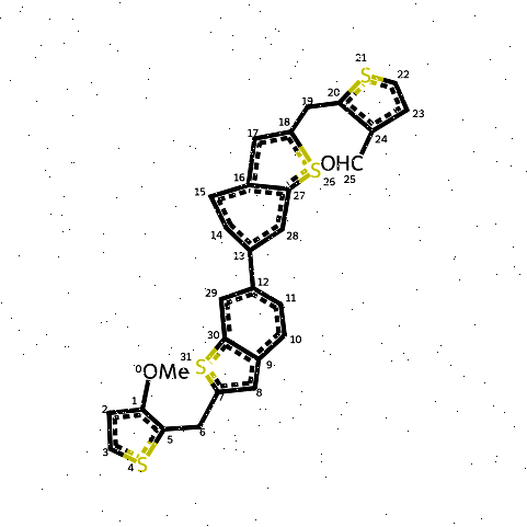 COc1ccsc1Cc1cc2ccc(-c3ccc4cc(Cc5sccc5C=O)sc4c3)cc2s1